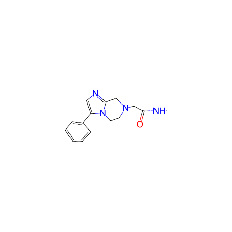 [NH]C(=O)CN1CCn2c(-c3ccccc3)cnc2C1